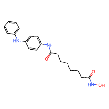 O=C(CCCCCCC(=O)Nc1ccc(Nc2ccccc2)cc1)NO